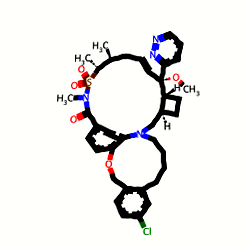 CO[C@@]1(c2cccnn2)/C=C/C[C@H](C)[C@@H](C)S(=O)(=O)N(C)C(=O)c2ccc3c(c2)N(CCCCc2cc(Cl)ccc2CO3)C[C@@H]2CC[C@H]21